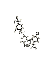 Cc1cc(C(F)(F)F)ccc1OC[C@@H]1CCCN(C[C@H](O)C2(c3ccc(Cl)cc3)CCC2)C1